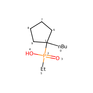 CCCCC1(P(=O)(O)CC)CCCC1